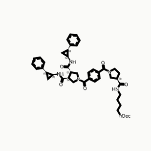 CCCCCCCCCCCCCCNC(=O)[C@@H]1CCN(C(=O)c2ccc(C(=O)N3C[C@@H](C(=O)N[C@H]4C[C@@H]4c4ccccc4)[C@H](C(=O)N[C@H]4C[C@@H]4c4ccccc4)C3)cc2)C1